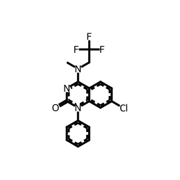 CN(CC(F)(F)F)c1nc(=O)n(-c2ccccc2)c2cc(Cl)ccc12